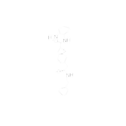 Nc1ccccc1NC(=O)c1cc2ccc(CC(=O)NCCc3ccccc3)cc2s1